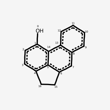 Oc1ccc2c3c(cc4ccccc4c13)CC2